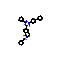 c1ccc(-c2ccc(-c3nc(-c4ccccc4)nc(-c4ccc5c(ccc6nc(-c7ccccc7)sc65)c4)n3)cc2)cc1